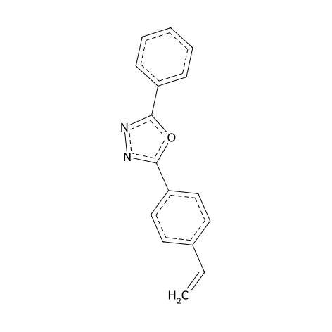 C=Cc1ccc(-c2nnc(-c3ccccc3)o2)cc1